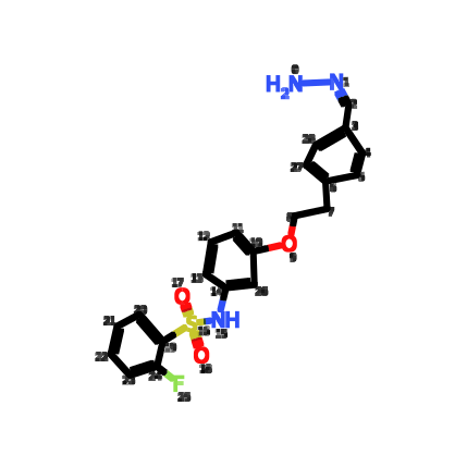 N/N=C\c1ccc(CCOc2cccc(NS(=O)(=O)c3ccccc3F)c2)cc1